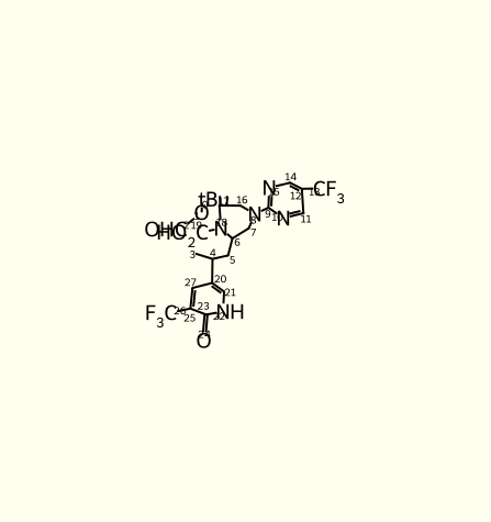 CC(C)(C)OC=O.CC(CC1CN(c2ncc(C(F)(F)F)cn2)CCN1C(=O)O)c1c[nH]c(=O)c(C(F)(F)F)c1